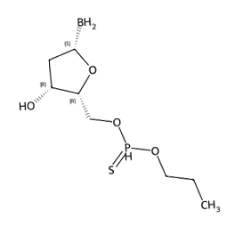 B[C@H]1C[C@@H](O)[C@@H](CO[PH](=S)OCCC)O1